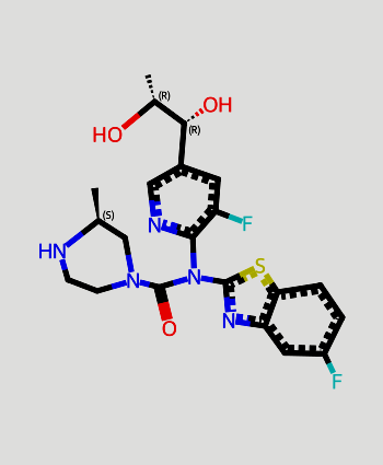 C[C@H]1CN(C(=O)N(c2nc3cc(F)ccc3s2)c2ncc([C@@H](O)[C@@H](C)O)cc2F)CCN1